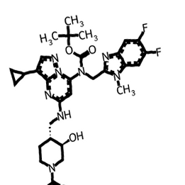 Cn1c(CN(C(=O)OC(C)(C)C)c2cc(NC[C@H]3CCN(C(=O)O)C[C@@H]3O)nc3c(C4CC4)cnn23)nc2cc(F)c(F)cc21